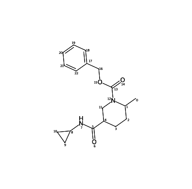 CC1CCC(C(=O)NC2CC2)CN1C(=O)OCc1ccccc1